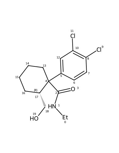 CCNC(=O)C1(c2ccc(Cl)c(Cl)c2)CCCC[C@H]1CO